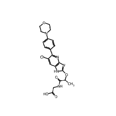 CC(Oc1nc2nc(-c3ccc(N4CCOCC4)cc3)c(Cl)cc2[nH]1)C(=O)NCC(=O)O